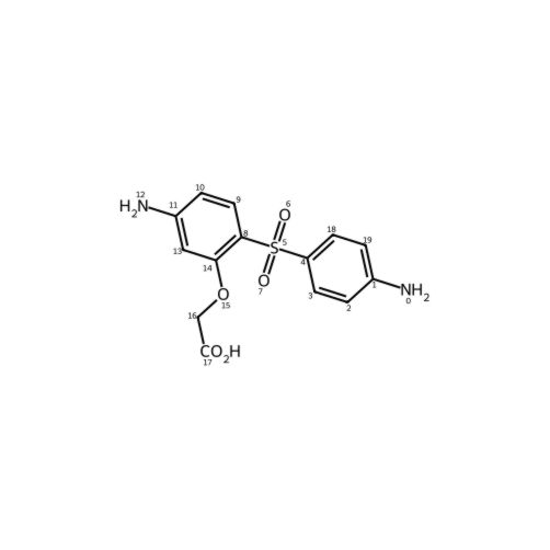 Nc1ccc(S(=O)(=O)c2ccc(N)cc2OCC(=O)O)cc1